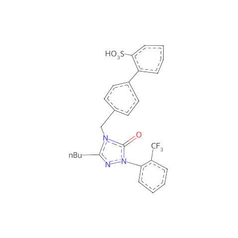 CCCCc1nn(-c2ccccc2C(F)(F)F)c(=O)n1Cc1ccc(-c2ccccc2S(=O)(=O)O)cc1